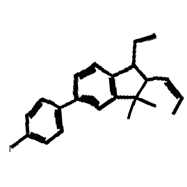 C/C=C\C1C(CC)c2ccc(-c3ccc(I)cc3)cc2C1(C)C